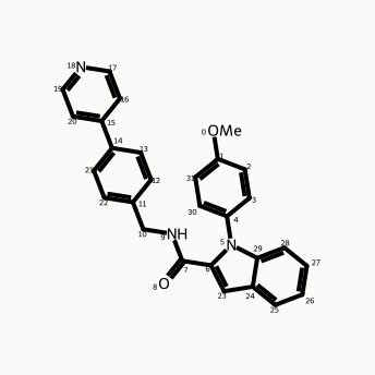 COc1ccc(-n2c(C(=O)NCc3ccc(-c4ccncc4)cc3)cc3ccccc32)cc1